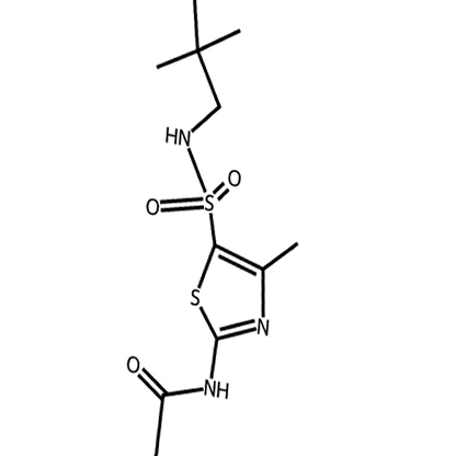 CC(=O)Nc1nc(C)c(S(=O)(=O)NCC(C)(C)C)s1